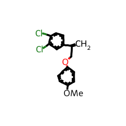 C=C(COc1ccc(OC)cc1)c1ccc(Cl)c(Cl)c1